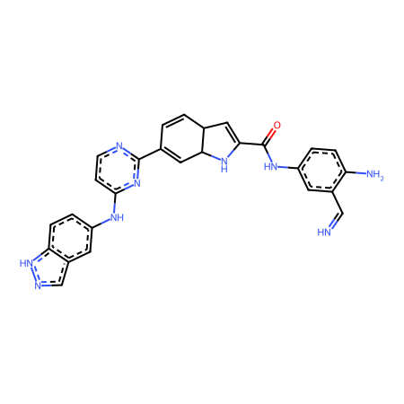 N=Cc1cc(NC(=O)C2=CC3C=CC(c4nccc(Nc5ccc6[nH]ncc6c5)n4)=CC3N2)ccc1N